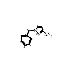 FC(F)(F)c1ccn(Cc2c[c]ccc2)n1